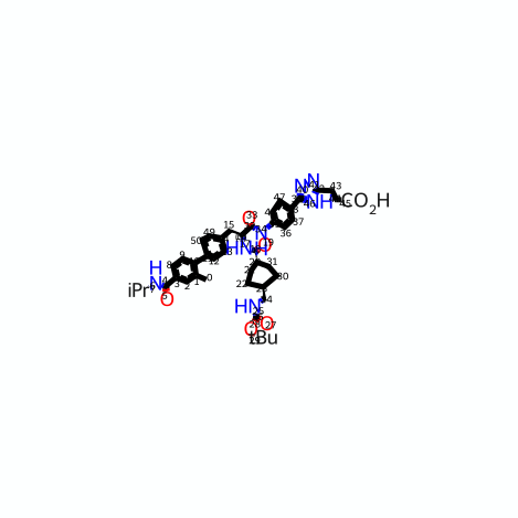 Cc1cc(C(=O)NC(C)C)ccc1-c1ccc(C[C@H](NC(=O)[C@H]2CC[C@H](CNC(=O)OC(C)(C)C)CC2)C(=O)Nc2ccc(-c3nnc(CCC(=O)O)[nH]3)cc2)cc1